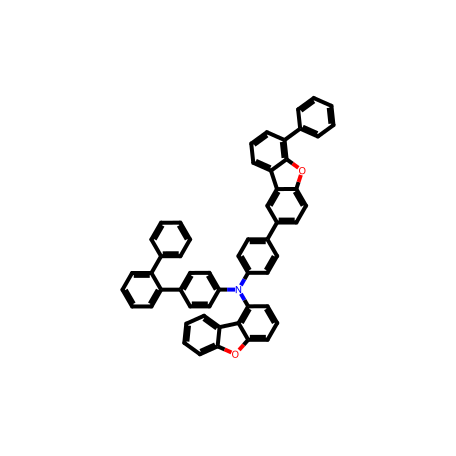 c1ccc(-c2ccccc2-c2ccc(N(c3ccc(-c4ccc5oc6c(-c7ccccc7)cccc6c5c4)cc3)c3cccc4oc5ccccc5c34)cc2)cc1